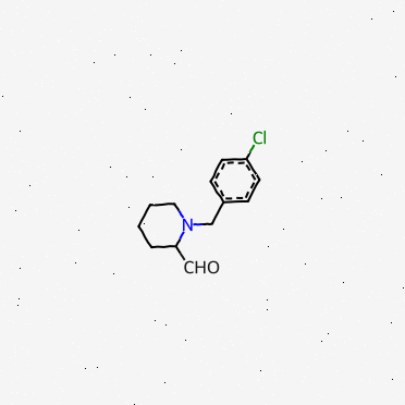 O=CC1CCCCN1Cc1ccc(Cl)cc1